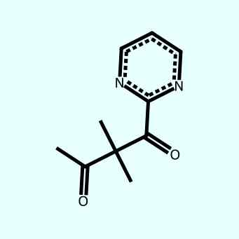 CC(=O)C(C)(C)C(=O)c1ncccn1